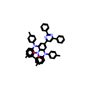 Cc1ccc(N(c2ccc(C)cc2)c2cc(-c3cc(-c4ccccc4)nc(-c4ccccc4)n3)cc(N(c3ccc(C)cc3)c3ccc(C)cc3)c2-n2c3ccccc3c3ccccc32)cc1